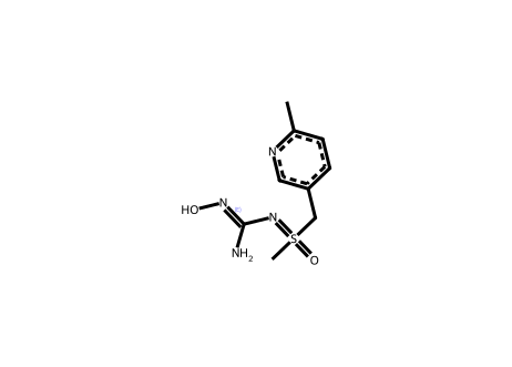 Cc1ccc(CS(C)(=O)=N/C(N)=N/O)cn1